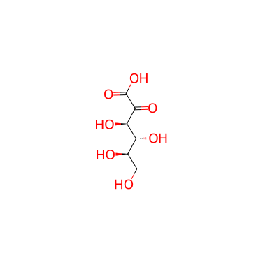 O=C(O)C(=O)[C@H](O)[C@H](O)[C@H](O)CO